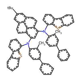 Cc1cc(-c2ccccc2)ccc1N(c1cc(N(c2ccc(-c3ccccc3)cc2C)c2cccc3c2sc2ccccc23)c2ccc3cc(C(C)(C)C)cc4ccc1c2c43)c1cccc2c1sc1ccccc12